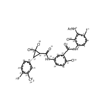 CC(=O)Nc1c(F)ccc(NC(=O)c2cc(NC(=O)C3[C@H](c4ccc(F)c(C(F)(F)F)c4)C3(Cl)Cl)ccc2Cl)c1Cl